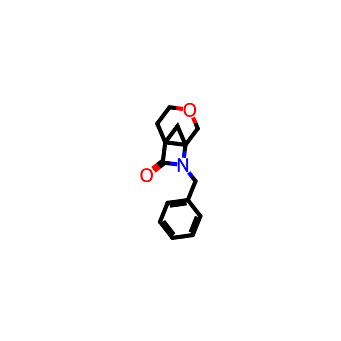 O=C1N(Cc2ccccc2)C23COCCC12C3